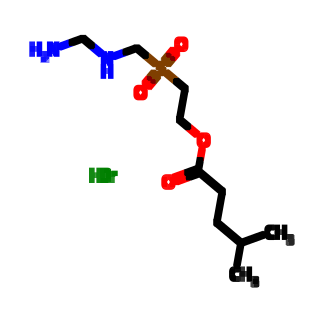 Br.CC(C)CCC(=O)OCCS(=O)(=O)CNCN